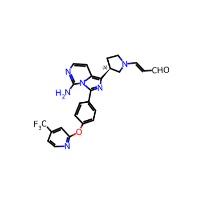 Nc1nccc2c([C@H]3CCN(C=CC=O)C3)nc(-c3ccc(Oc4cc(C(F)(F)F)ccn4)cc3)n12